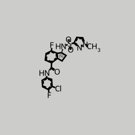 Cn1ccc(S(=O)(=O)N[C@H]2CCc3c(C(=O)Nc4ccc(F)c(Cl)c4)ccc(F)c32)n1